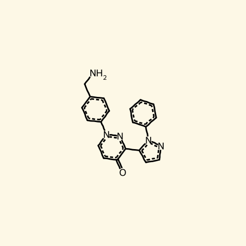 NCc1ccc(-n2ccc(=O)c(-c3ccnn3-c3ccccc3)n2)cc1